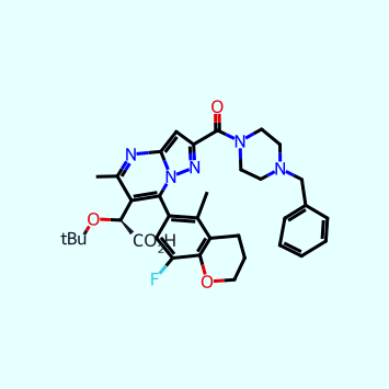 Cc1nc2cc(C(=O)N3CCN(Cc4ccccc4)CC3)nn2c(-c2cc(F)c3c(c2C)CCCO3)c1[C@H](OC(C)(C)C)C(=O)O